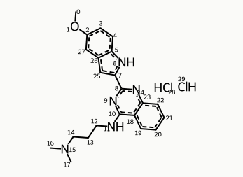 COc1ccc2[nH]c(-c3nc(NCCCN(C)C)c4ccccc4n3)cc2c1.Cl.Cl